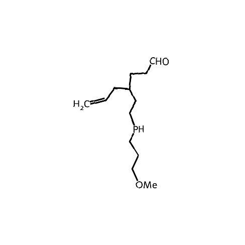 C=CCC(CCC=O)CCPCCCOC